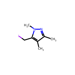 Cc1nn(C)c(CI)c1C